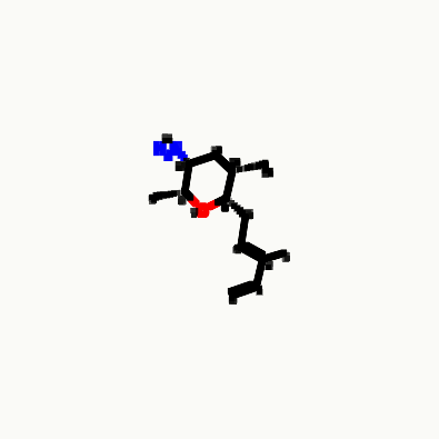 C=C/C(C)=C/C[C@@H]1O[C@H](C)[C@H](N)C[C@@H]1C